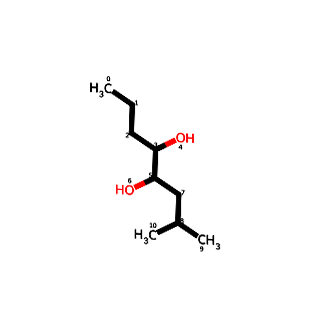 CCCC(O)C(O)CC(C)C